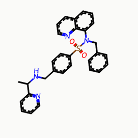 CC(NCc1ccc(S(=O)(=O)N(Cc2ccccc2)c2cccc3cccnc23)cc1)c1ccccn1